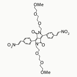 COCCOCCOCCN1C(=O)C2=C(c3ccc(/C=C/[N+](=O)[O-])cc3)N(CCOCCOCCOC)C(=O)C2=C1c1ccc(/C=C/[N+](=O)[O-])cc1